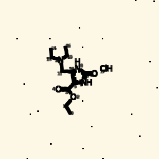 CCOC(=O)c1[nH]c(=O)[nH]c1CN(CC)CC.Cl